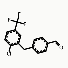 O=Cc1ccc(Cc2cc(C(F)(F)F)ccc2Cl)cc1